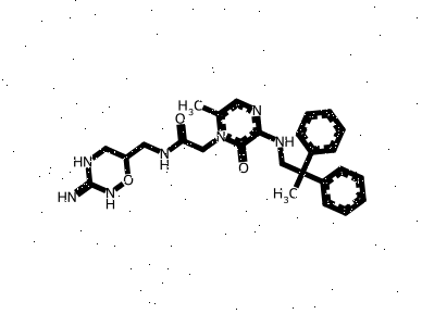 Cc1cnc(NCC(C)(c2ccccc2)c2ccccc2)c(=O)n1CC(=O)NCC1CNC(=N)NO1